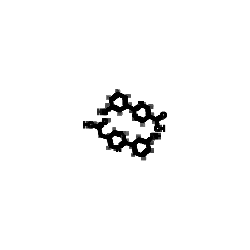 O=C(O)Cc1cnc(-c2cccc(O)c2)nc1.O=C(O)c1cnc(-c2cccc(O)c2)nc1